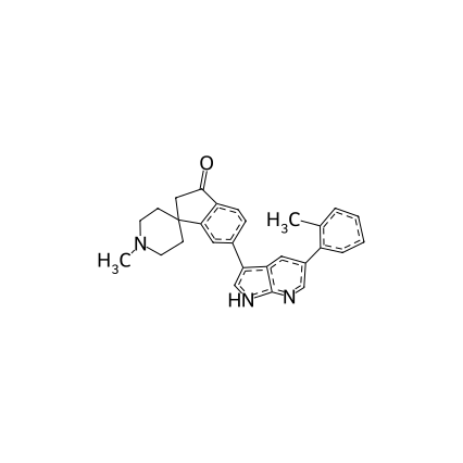 Cc1ccccc1-c1cnc2[nH]cc(-c3ccc4c(c3)C3(CCN(C)CC3)CC4=O)c2c1